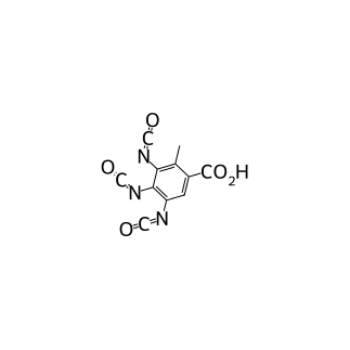 Cc1c(C(=O)O)cc(N=C=O)c(N=C=O)c1N=C=O